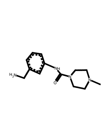 CN1CCN(C(=O)Nc2cccc(CN)c2)CC1